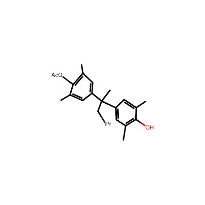 CC(=O)Oc1c(C)cc(C(C)(CC(C)C)c2cc(C)c(O)c(C)c2)cc1C